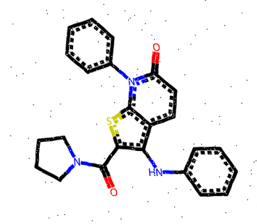 O=C(c1sc2c(ccc(=O)n2-c2ccccc2)c1Nc1ccccc1)N1CCCC1